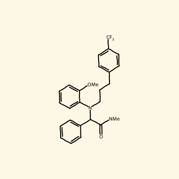 CNC(=O)C(c1ccccc1)N(CCCc1ccc(C(F)(F)F)cc1)c1ccccc1OC